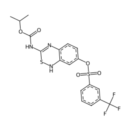 CC(C)OC(=O)NC1=Nc2ccc(OS(=O)(=O)c3cccc(C(F)(F)F)c3)cc2NS1